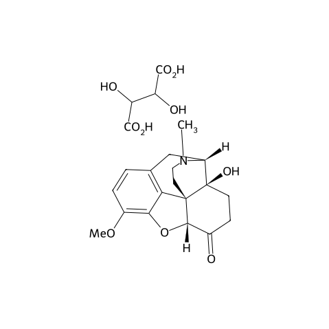 COc1ccc2c3c1O[C@H]1C(=O)CC[C@@]4(O)[C@@H](C2)N(C)CC[C@]314.O=C(O)C(O)C(O)C(=O)O